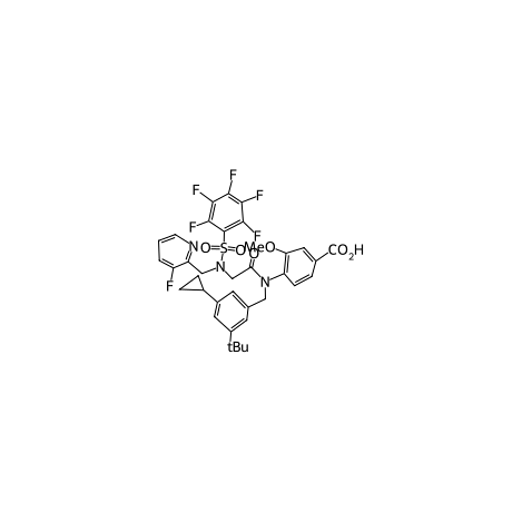 COc1cc(C(=O)O)ccc1N(Cc1cc(C2CC2)cc(C(C)(C)C)c1)C(=O)CN(Cc1ncccc1F)S(=O)(=O)c1c(F)c(F)c(F)c(F)c1F